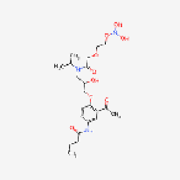 CCCC(=O)Nc1ccc(OCC(O)CN(C(=O)COCCON(O)O)C(C)C)c(C(C)=O)c1